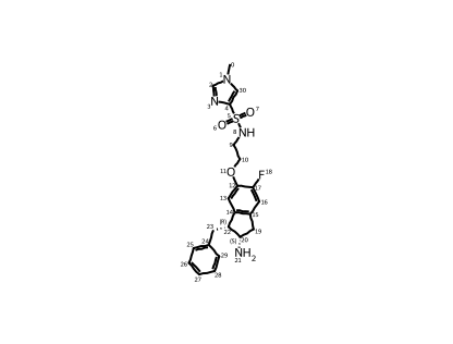 Cn1cnc(S(=O)(=O)NCCOc2cc3c(cc2F)C[C@H](N)[C@@H]3Cc2ccccc2)c1